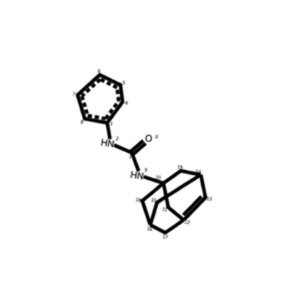 O=C(Nc1ccccc1)NC12CC3=CC(CC(C3)C1)C2